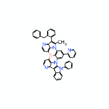 Cc1c(-c2ccccc2Cc2ccccc2)c2nccc3c2n1-c1cc(-c2ccccn2)cc2c1B3c1ccnc3c4c5ccccc5n(-c5ccccc5)c4n-2c13